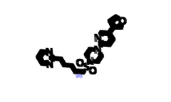 O=S(=O)(/C=C\CCCc1ncccn1)N1CCN(c2ccc(-c3ccoc3)cn2)CC1